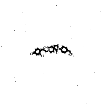 O=C1N(c2ccc(CC(F)(F)F)cc2)CCC12CCN(CC(O)c1ccc(Cl)cc1Cl)CC2